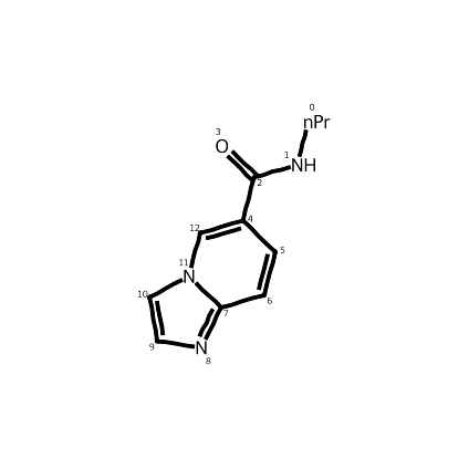 CCCNC(=O)c1ccc2nccn2c1